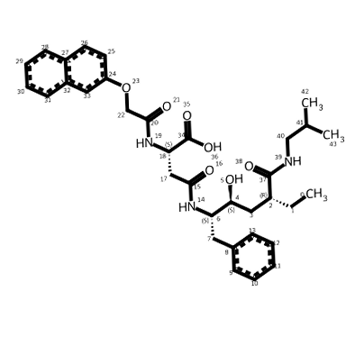 CC[C@H](C[C@H](O)[C@H](Cc1ccccc1)NC(=O)C[C@H](NC(=O)COc1ccc2ccccc2c1)C(=O)O)C(=O)NCC(C)C